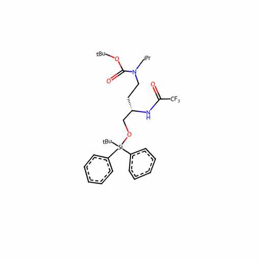 CC(C)N(CC[C@@H](CO[Si](c1ccccc1)(c1ccccc1)C(C)(C)C)NC(=O)C(F)(F)F)C(=O)OC(C)(C)C